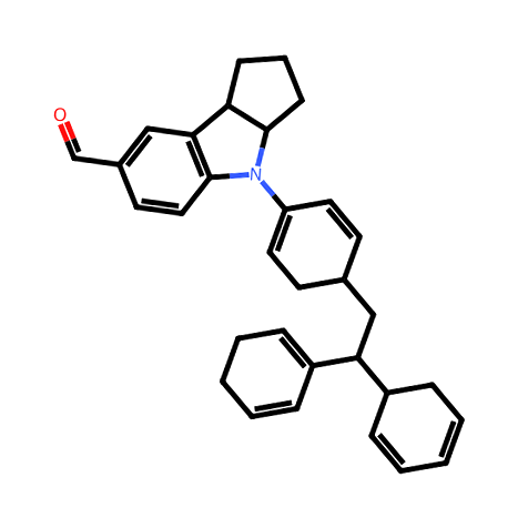 O=Cc1ccc2c(c1)C1CCCC1N2C1=CCC(CC(C2=CCCC=C2)C2C=CC=CC2)C=C1